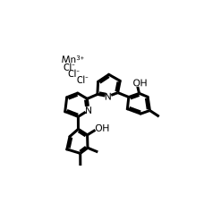 Cc1ccc(-c2cccc(-c3cccc(-c4ccc(C)c(C)c4O)n3)n2)c(O)c1.[Cl-].[Cl-].[Cl-].[Mn+3]